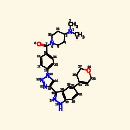 CN(C)C1CCN(C(=O)c2ccc(-n3cc(-c4n[nH]c5ccc(C6=CCOCC6)cc45)nn3)cc2)CC1